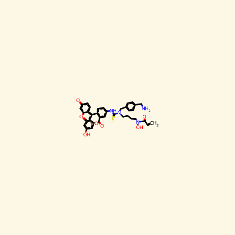 C=CC(=O)N(O)CCCCN(Cc1ccc(CN)cc1)C(=S)Nc1ccc(-c2c3ccc(=O)cc-3oc3cc(O)ccc23)c(C(=O)O)c1